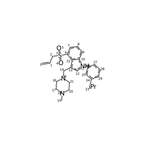 C=CCS(=O)(=O)c1cccc2[nH]cc(CN3CCN(C)CC3)c12.CC(C)c1ccccc1